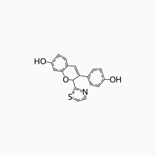 Oc1ccc(C2=Cc3ccc(O)cc3OC2c2nccs2)cc1